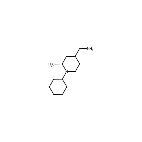 CC1CC(CN)CCN1C1CCCCC1